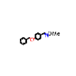 CO/N=C/c1ccc(OCc2ccccc2)cc1